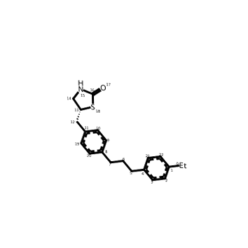 CCc1ccc(CCCc2ccc(C[C@@H]3CNC(=O)S3)cc2)cc1